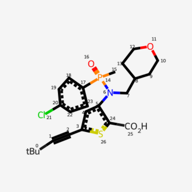 CC(C)(C)C#Cc1cc(N(CC2CCOCC2)P(C)(=O)c2ccc(Cl)cc2)c(C(=O)O)s1